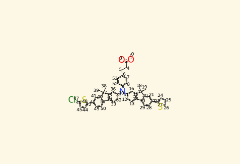 COC(=O)CCc1ccc(N(c2ccc3c(c2)C(C)(C)c2cc(-c4cccs4)ccc2-3)c2ccc3c(c2)C(C)(C)c2cc(-c4ccc(Cl)s4)ccc2-3)cc1